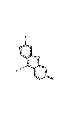 O=c1ccc2[n+]([O-])c3ccc(O)cc3oc-2c1.[H+]